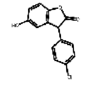 O=C1Oc2ccc(O)cc2C1c1ccc(Cl)cc1